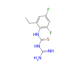 CCc1cc(F)cc(F)c1NC(=S)NC(=N)N